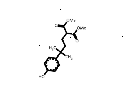 COC(=O)C(CCC(C)(C)c1ccc(O)cc1)C(=O)OC